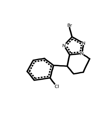 Clc1ccccc1C1CCCn2nc(Br)nc21